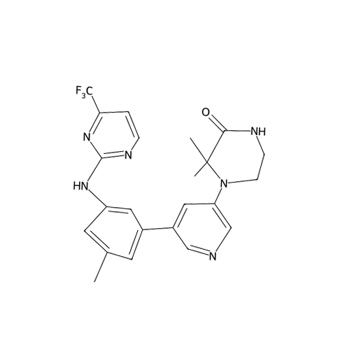 Cc1cc(Nc2nccc(C(F)(F)F)n2)cc(-c2cncc(N3CCNC(=O)C3(C)C)c2)c1